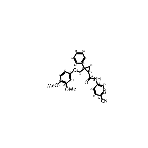 COc1ccc(OCC2(c3ccccc3)CC2C(=O)Nc2ccc(C#N)nc2)cc1OC